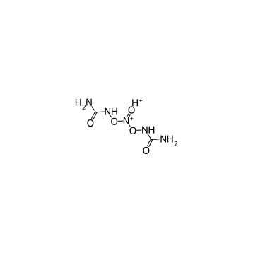 NC(=O)NO[N+](=O)ONC(N)=O.[H+]